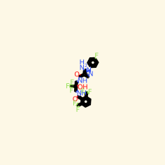 Nc1c(C(=O)NCC(O)(CNC(=O)c2c(C(F)F)cccc2C(F)F)C(F)(F)F)cnn1-c1ccc(F)cc1